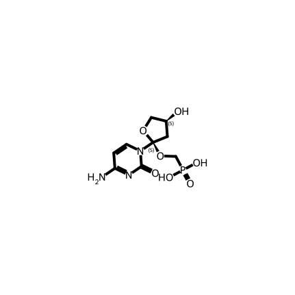 Nc1ccn([C@@]2(OCP(=O)(O)O)C[C@H](O)CO2)c(=O)n1